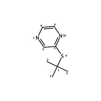 CC(C)(C)Sc1cnccn1